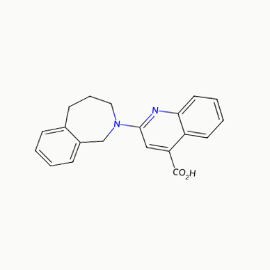 O=C(O)c1cc(N2CCCc3ccccc3C2)nc2ccccc12